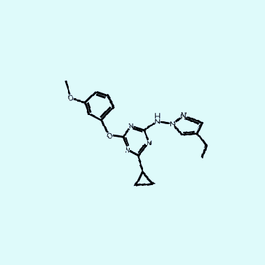 CCc1cnn(Nc2nc(Oc3cccc(OC)c3)nc(C3CC3)n2)c1